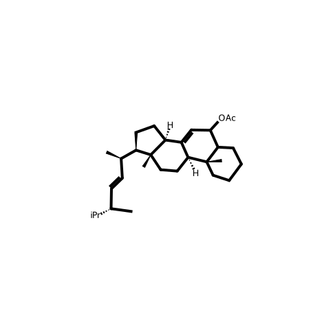 CC(=O)OC1C=C2[C@@H]3CC[C@H]([C@H](C)C=C[C@H](C)C(C)C)[C@@]3(C)CC[C@@H]2[C@@]2(C)CCCCC12